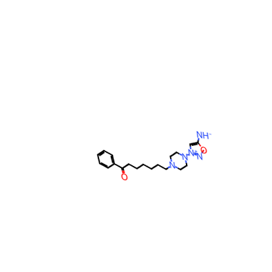 [NH-]c1c[n+](N2CCN(CCCCCCC(=O)c3ccccc3)CC2)no1